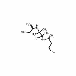 C=C(CCC(C)(C)C)NC(C)(C)C(C)(C)NC(=C)CC(C)(C)C